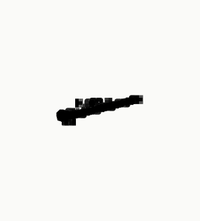 C=CC(=O)O.CC(C)(C)c1ccccc1OC(O)COCCOCCOCCOCCOCCOCCOCCOCCO